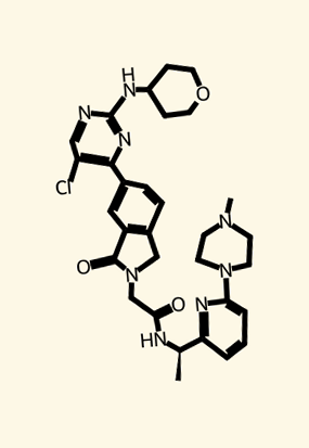 C[C@@H](NC(=O)CN1Cc2ccc(-c3nc(NC4CCOCC4)ncc3Cl)cc2C1=O)c1cccc(N2CCN(C)CC2)n1